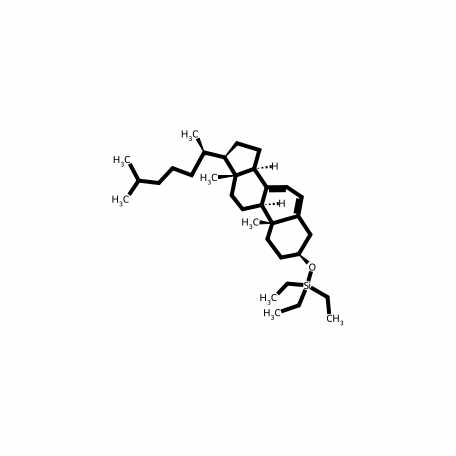 CC[Si](CC)(CC)O[C@H]1CC[C@@]2(C)C(=CC=C3[C@@H]4CC[C@H]([C@H](C)CCCC(C)C)[C@@]4(C)CC[C@@H]32)C1